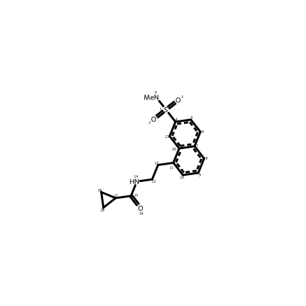 CNS(=O)(=O)c1ccc2cccc(CCNC(=O)C3CC3)c2c1